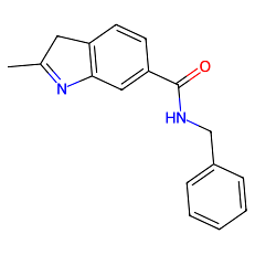 CC1=Nc2cc(C(=O)NCc3ccccc3)ccc2C1